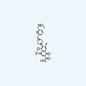 COc1c(N2CCN(Cc3cccc(CN)n3)CC2)c(F)cc2c(=O)c(C(=O)O)cn(C3CC3)c12